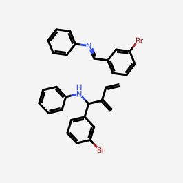 Brc1cccc(C=Nc2ccccc2)c1.C=CC(=C)C(Nc1ccccc1)c1cccc(Br)c1